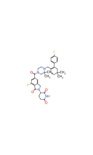 CC1(C)CCC(CN2CCN(C(=O)c3cc(F)c4c(c3)CN(C3CCC(=O)NC3=O)C4=O)CC2(C)C)=C(c2ccc(F)cc2)C1